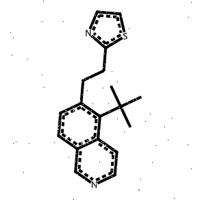 CC(C)(C)c1c(CCc2nccs2)ccc2cnccc12